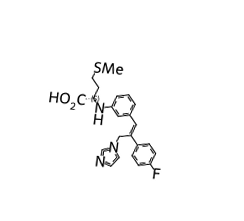 CSCC[C@H](Nc1cccc(C=C(Cn2ccnc2)c2ccc(F)cc2)c1)C(=O)O